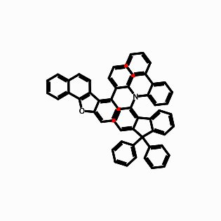 c1ccc(-c2ccccc2N(c2ccccc2-c2cccc3oc4c5ccccc5ccc4c23)c2cccc3c2-c2ccccc2C3(c2ccccc2)c2ccccc2)cc1